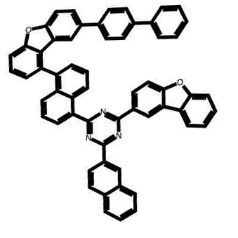 c1ccc(-c2ccc(-c3ccc4oc5cccc(-c6cccc7c(-c8nc(-c9ccc%10ccccc%10c9)nc(-c9ccc%10oc%11ccccc%11c%10c9)n8)cccc67)c5c4c3)cc2)cc1